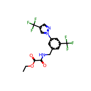 CCOC(=O)C(=O)NCc1cc(-n2cc(C(F)(F)F)cn2)cc(C(F)(F)F)c1